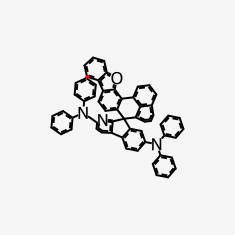 c1ccc(N(c2ccccc2)c2ccc3c(c2)C2(c4ccc5c(oc6ccccc65)c4-c4cccc5cccc2c45)c2nc(N(c4ccccc4)c4ccccc4)ccc2-3)cc1